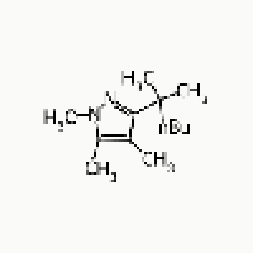 CCCCC(C)(C)c1nn(C)c(C)c1C